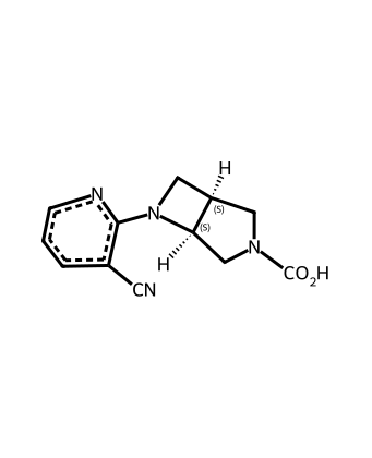 N#Cc1cccnc1N1C[C@H]2CN(C(=O)O)C[C@H]21